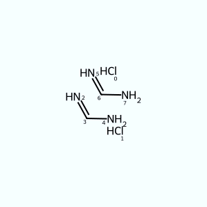 Cl.Cl.N=CN.N=CN